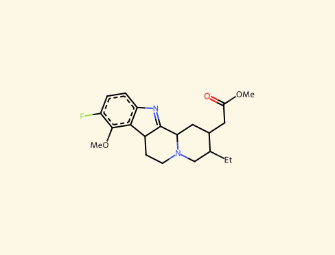 CCC1CN2CCC3C(=Nc4ccc(F)c(OC)c43)C2CC1CC(=O)OC